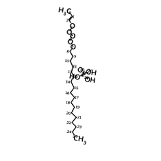 CC=COOOOOCCCCCCCCCCCCCCCCCC.O=P(O)(O)O